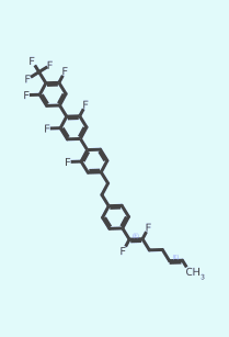 C/C=C/CC/C(F)=C(\F)c1ccc(CCc2ccc(-c3cc(F)c(-c4cc(F)c(C(F)(F)F)c(F)c4)c(F)c3)c(F)c2)cc1